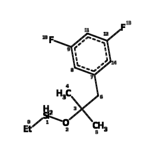 CC[SiH2]OC(C)(C)Cc1cc(F)cc(F)c1